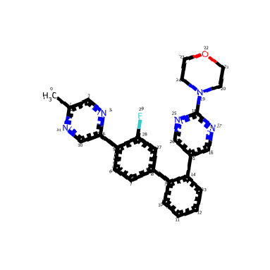 Cc1cnc(-c2ccc(-c3ccccc3-c3cnc(N4CCOCC4)nc3)cc2F)cn1